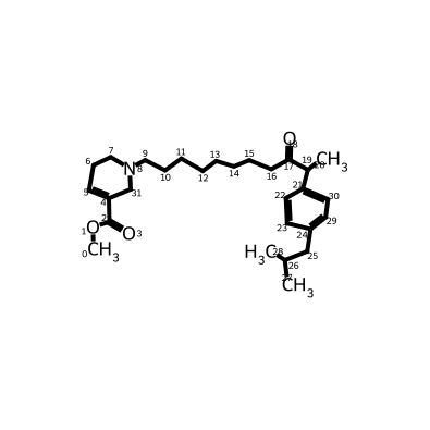 COC(=O)C1=CCCN(CCCCCCCCC(=O)C(C)c2ccc(CC(C)C)cc2)C1